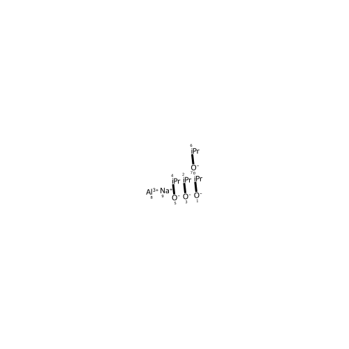 CC(C)[O-].CC(C)[O-].CC(C)[O-].CC(C)[O-].[Al+3].[Na+]